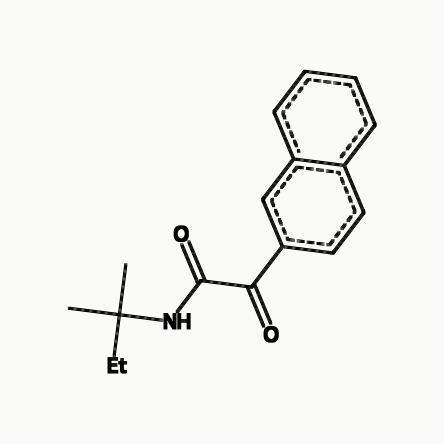 CCC(C)(C)NC(=O)C(=O)c1ccc2ccccc2c1